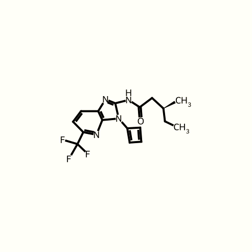 CC[C@H](C)CC(=O)Nc1nc2ccc(C(F)(F)F)nc2n1C1=CC=C1